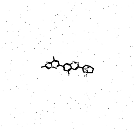 Cc1cn2nc(-c3cc(F)c4cc(C5CC6CC[C@@H](C5)N6)nnc4c3)cc(C)c2n1